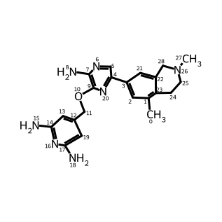 Cc1cc(-c2cnc(N)c(OCc3cc(N)nc(N)c3)n2)cc2c1CCN(C)C2